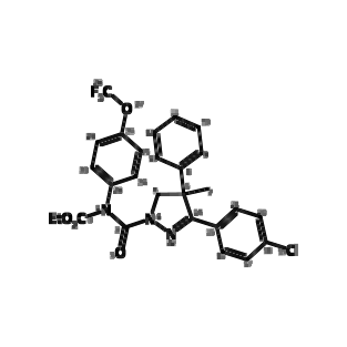 CCOC(=O)N(C(=O)N1CC(C)(c2ccccc2)C(c2ccc(Cl)cc2)=N1)c1ccc(OC(F)(F)F)cc1